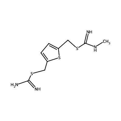 CNC(=N)SCc1ccc(CSC(=N)N)s1